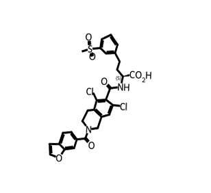 CS(=O)(=O)c1cccc(CC[C@H](NC(=O)c2c(Cl)cc3c(c2Cl)CCN(C(=O)c2ccc4ccoc4c2)C3)C(=O)O)c1